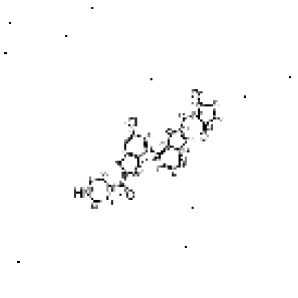 O=C([C@H]1Cc2cc(Cl)cc(-c3ccnc4cc(CN5C(=O)CCC5=O)sc34)c2O1)N1CCNCC1